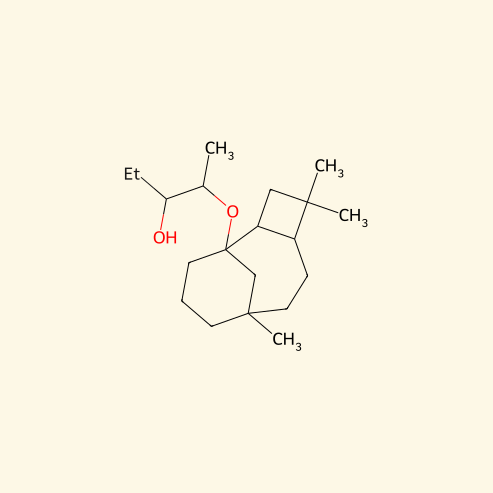 CCC(O)C(C)OC12CCCC(C)(CCC3C1CC3(C)C)C2